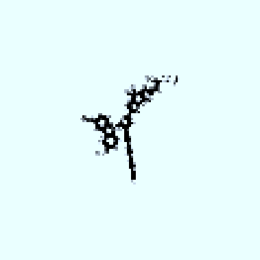 C#CC#CC#CC#Cc1cc(-c2cc3c(s2)-c2sc(/C=C(\C#N)C(=O)O)cc2C3(C)C)sc1-n1c2ccc(C(C)(C)C)cc2c2cc(C(C)(C)C)ccc21